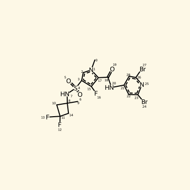 Cn1cc(S(=O)(=O)NC2(C)CC(F)(F)C2)c(F)c1C(=O)Nc1cc(Br)nc(Br)c1